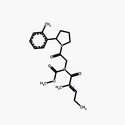 CC/C=C(\C)C(=O)N(CC(=O)N1CCCC1c1ccccc1C)C(=O)OC